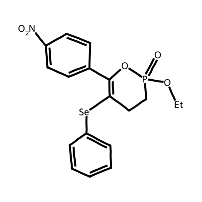 CCOP1(=O)CCC([Se]c2ccccc2)=C(c2ccc([N+](=O)[O-])cc2)O1